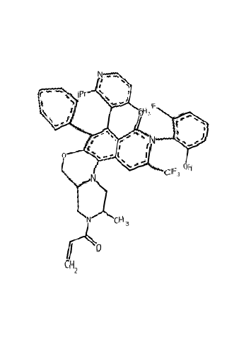 C=CC(=O)N1CC2COc3c(-c4ccccc4)c(-c4c(C)ccnc4C(C)C)c4c(=O)n(-c5c(O)cccc5F)c(C(F)(F)F)cc4c3N2CC1C